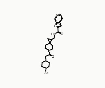 CC(=O)N1CCN(CC(=O)N2CCC3(CC2)CC3CNC(=O)c2cc3ccncc3o2)CC1